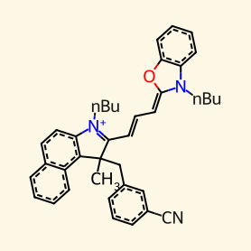 CCCCN1/C(=C/C=C/C2=[N+](CCCC)c3ccc4ccccc4c3C2(C)Cc2cccc(C#N)c2)Oc2ccccc21